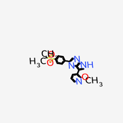 COc1ncccc1-c1c[nH]c2ncc(-c3ccc(S(=O)(=O)C(C)C)cc3)nc12